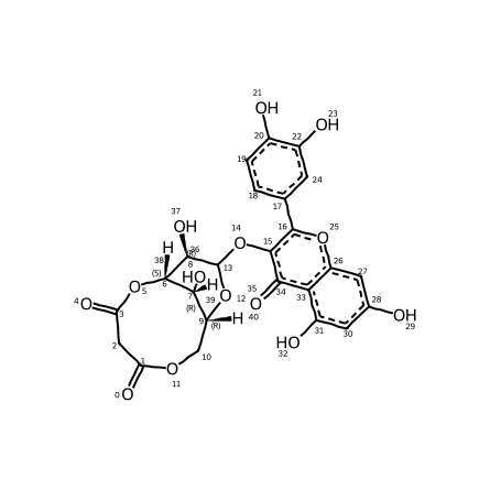 O=C1CC(=O)O[C@H]2[C@H](O)[C@@H](CO1)OC(Oc1c(-c3ccc(O)c(O)c3)oc3cc(O)cc(O)c3c1=O)[C@@H]2O